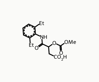 CCc1cccc(CC)c1NC(=O)C(CC(=O)O)OC(=O)OC